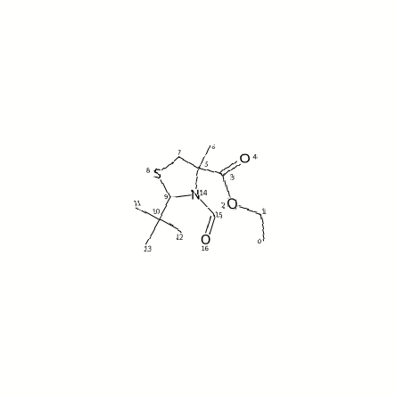 CCOC(=O)C1(C)CSC(C(C)(C)C)N1C=O